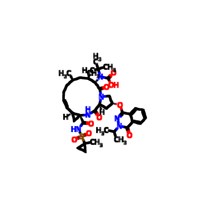 CC(C)n1nc(O[C@@H]2C[C@H]3C(=O)N[C@]4(C(=O)NS(=O)(=O)C5(C)CC5)C[C@H]4/C=C\CC[C@@H](C)C[C@@H](C)[C@H](N(C(=O)O)C(C)(C)C)C(=O)N3C2)c2ccccc2c1=O